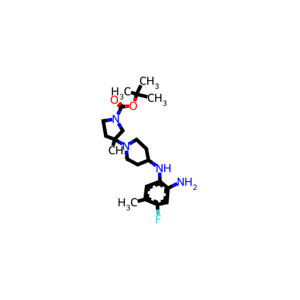 Cc1cc(NC2CCN(C3(C)CCN(C(=O)OC(C)(C)C)C3)CC2)c(N)cc1F